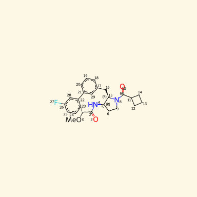 COCC(=O)N[C@@H]1CCN(C(=O)C2CCC2)[C@@H]1Cc1cccc(-c2cccc(F)c2)c1